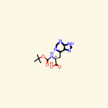 CC(C)(C)OC(=O)N[C@@H](Cc1ncnc2[nH]cnc12)C(=O)O